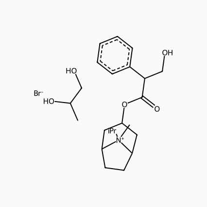 CC(C)[N+]1(C)C2CCC1CC(OC(=O)C(CO)c1ccccc1)C2.CC(O)CO.[Br-]